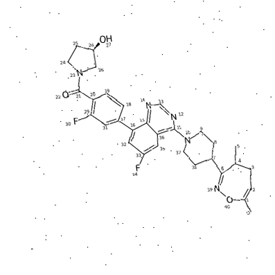 CC1=CCC(C)C(C2CCN(c3ncnc4c(-c5ccc(C(=O)N6CC[C@@H](O)C6)c(F)c5)cc(F)cc34)CC2)=NO1